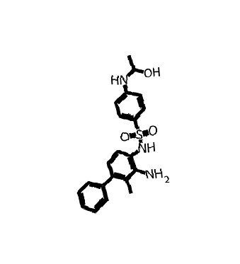 Cc1c(-c2ccccc2)ccc(NS(=O)(=O)c2ccc(NC(C)O)cc2)c1N